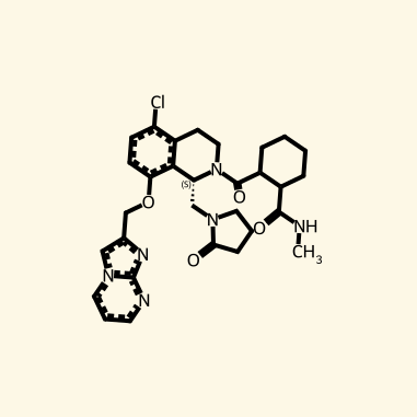 CNC(=O)C1CCCCC1C(=O)N1CCc2c(Cl)ccc(OCc3cn4cccnc4n3)c2[C@H]1CN1CCCC1=O